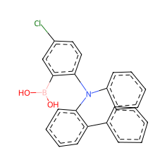 OB(O)c1cc(Cl)ccc1N(c1ccccc1)c1ccccc1-c1ccccc1